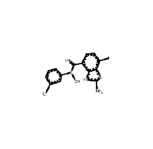 N=C(c1ccc(F)c2nc(N)[nH]c12)N(O)c1cccc(Cl)c1